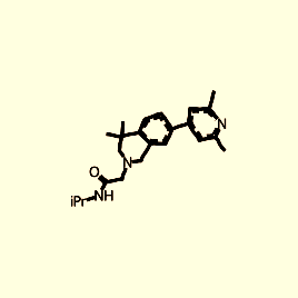 Cc1cc(-c2ccc3c(c2)CN(CC(=O)NC(C)C)CC3(C)C)cc(C)n1